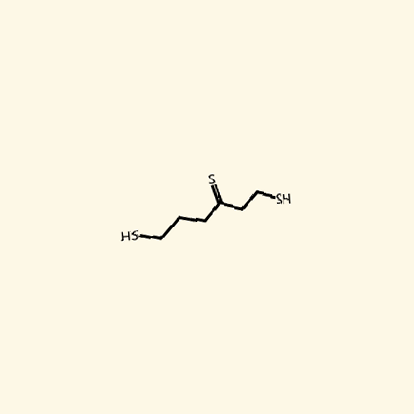 S=C(CCS)CCCS